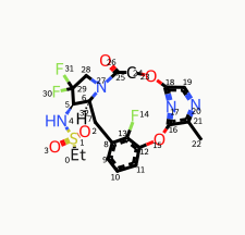 CCS(=O)(=O)N[C@@H]1[C@@H]2Cc3cccc(c3F)Oc3nc(cnc3C)OCC(=O)N2CC1(F)F